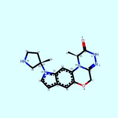 C[C@H]1C(=O)NN=C2COc3cc4ccn([C@@]5(C)CCNC5)c4cc3N21